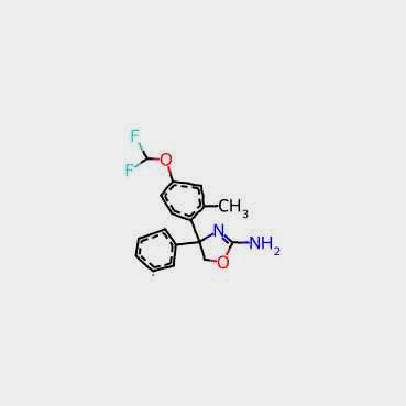 Cc1cc(OC(F)F)ccc1C1(c2c[c]ccc2)COC(N)=N1